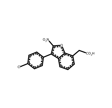 O=C(O)Cc1cccc2c(-c3ccc(Cl)cc3)c([N+](=O)[O-])oc12